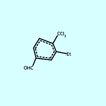 CCc1cc(C=O)ccc1C(Cl)(Cl)Cl